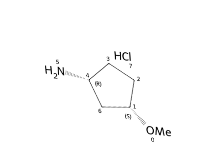 CO[C@H]1CC[C@@H](N)C1.Cl